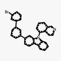 Brc1cccc(-c2cccc(-c3ccc4c5ccccc5n(-c5cccc6cnccc56)c4c3)c2)c1